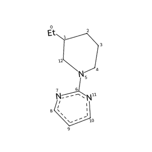 CCC1CCCN(c2ncccn2)C1